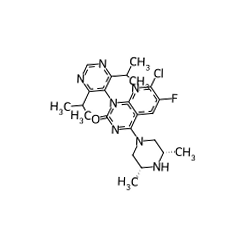 CC(C)c1ncnc(C(C)C)c1-n1c(=O)nc(N2C[C@@H](C)N[C@@H](C)C2)c2cc(F)c(Cl)nc21